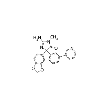 CN1C(=O)C(c2cccc(-c3cccnc3)c2)(c2ccc3c(c2)OCO3)N=C1N